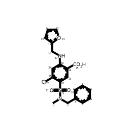 CN(Cc1ccccc1)S(=O)(=O)c1cc(C(=O)O)c(NCc2ccco2)cc1Cl